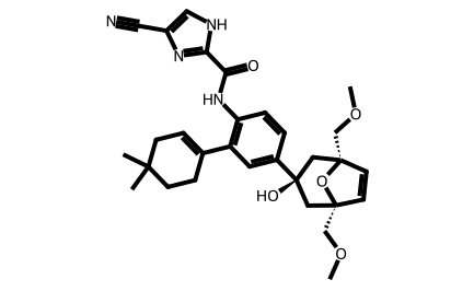 COC[C@@]12C=C[C@@](COC)(C[C@](O)(c3ccc(NC(=O)c4nc(C#N)c[nH]4)c(C4=CCC(C)(C)CC4)c3)C1)O2